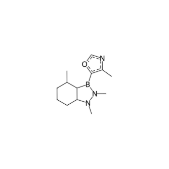 Cc1ncoc1B1C2C(C)CCCC2N(C)N1C